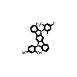 Cc1cc(F)cc(F)c1-n1c2ccccc2c2cc3c(cc21)c1ccccc1n3-c1ccc(C#N)cc1C#N